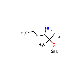 CCCC(N)C(C)(C)O[SiH3]